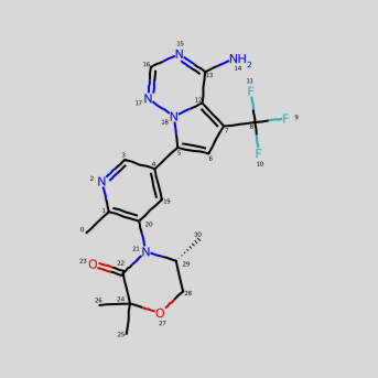 Cc1ncc(-c2cc(C(F)(F)F)c3c(N)ncnn23)cc1N1C(=O)C(C)(C)OC[C@H]1C